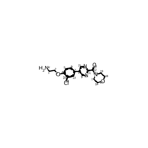 NCCOc1ccc(-c2cnc(C(=O)N3CCOCC3)nc2)cc1Cl